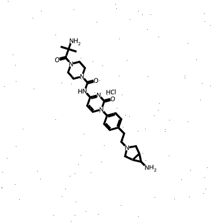 CC(C)(N)C(=O)N1CCN(C(=O)Nc2ccn(-c3ccc(CCN4CC5C(N)C5C4)cc3)c(=O)n2)CC1.Cl